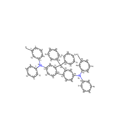 Cc1cccc(N(c2ccccc2)c2ccc3c(c2)C(c2ccccc2)(c2ccccc2)c2cc(N(c4ccccc4)c4cccc(C)c4)ccc2-3)c1